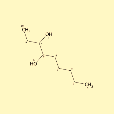 CCCCCC(O)C(O)CC